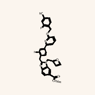 COC(=O)c1ccc2nc(Cc3ccc(-c4cccc(OCc5ccc(C#N)cc5F)n4)cc3F)n(CC3CCO3)c2c1